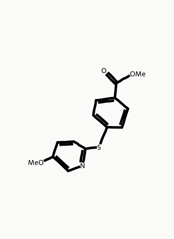 COC(=O)c1ccc(Sc2ccc(OC)cn2)cc1